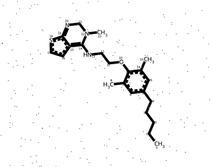 CCCCCc1cc(C)c(OCCNC2=c3ccsc3=NCN2C)c(C)c1